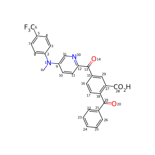 CN(c1ccc(C(F)(F)F)cc1)c1ccc(C(=O)c2ccc(C(=O)c3ccccc3)c(C(=O)O)c2)nc1